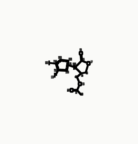 CC(=O)OCC1COC(=O)N1c1ccc(I)c(F)c1